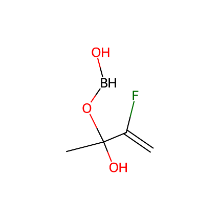 C=C(F)C(C)(O)OBO